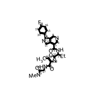 CCC(NC(=O)c1cncc2c1cnn2-c1ccc(F)cc1)c1nc(C(=O)NCC(=O)NC)c(C)o1